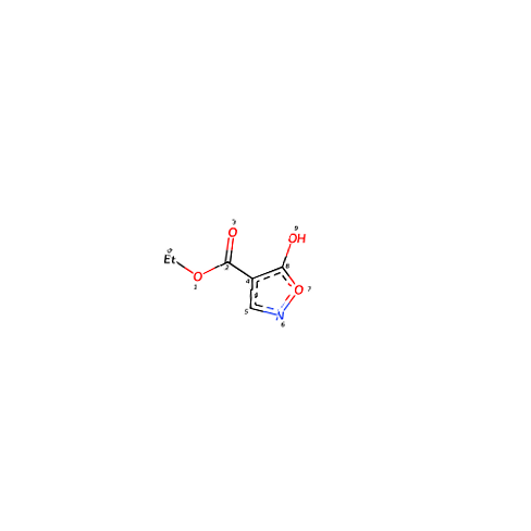 CCOC(=O)c1cnoc1O